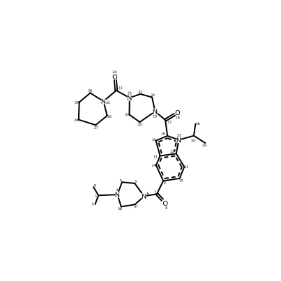 CC(C)N1CCN(C(=O)c2ccc3c(c2)cc(C(=O)N2CCN(C(=O)N4CCCCC4)CC2)n3C(C)C)CC1